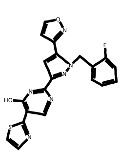 Oc1nc(-c2cc(-c3ccon3)n(Cc3ccccc3F)n2)ncc1-c1nccs1